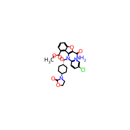 COC(=O)c1cccc2oc(C(N)=O)c(N(c3ccc(Cl)cn3)C(=O)[C@H]3CC[C@H](N4CCOC4=O)CC3)c12